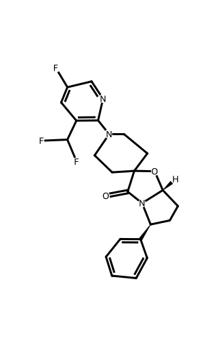 O=C1N2[C@@H](CC[C@H]2c2ccccc2)OC12CCN(c1ncc(F)cc1C(F)F)CC2